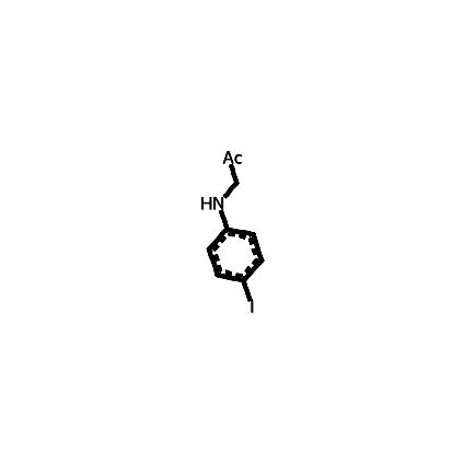 CC(=O)CNc1ccc(I)cc1